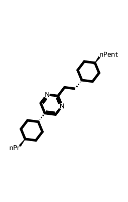 CCCCC[C@H]1CC[C@H](CCc2ncc([C@H]3CC[C@H](CCC)CC3)cn2)CC1